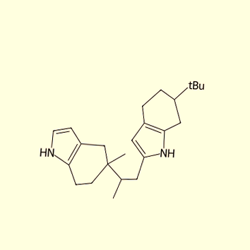 CC(Cc1cc2c([nH]1)CC(C(C)(C)C)CC2)C1(C)CCc2[nH]ccc2C1